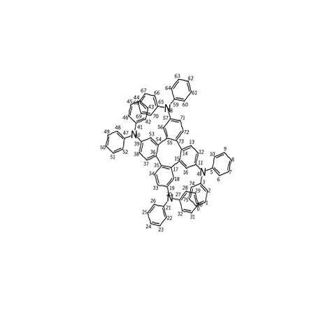 c1ccc(N(c2ccccc2)c2ccc3c(c2)-c2cc(N(c4ccccc4)c4ccccc4)ccc2-c2ccc(N(c4ccccc4)c4ccccc4)cc2-c2cc(N(c4ccccc4)c4ccccc4)ccc2-3)cc1